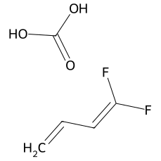 C=CC=C(F)F.O=C(O)O